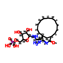 NC1=NC(=O)C2CCCCCCCCCCCC1(/C=C\NC1OC(COP(=O)(O)O)C(O)C1O)C2